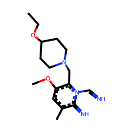 CCOC1CCN(Cc2c(OC)cc(C)c(=N)n2C=N)CC1